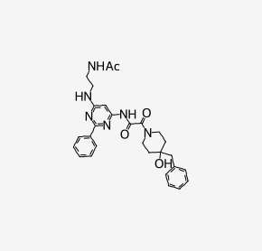 CC(=O)NCCNc1cc(NC(=O)C(=O)N2CCC(O)(Cc3ccccc3)CC2)nc(-c2ccccc2)n1